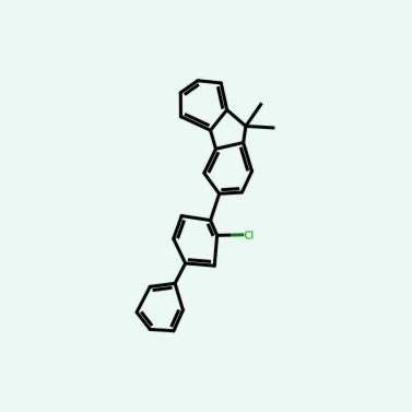 CC1(C)c2ccccc2-c2cc(-c3ccc(-c4ccccc4)cc3Cl)ccc21